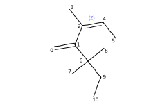 C=C(/C(C)=C\C)C(C)(C)CC